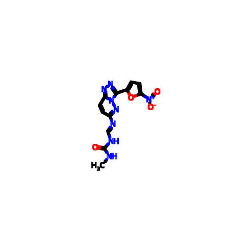 CNC(=O)NC=Nc1ccc2nnc(-c3ccc([N+](=O)[O-])o3)n2n1